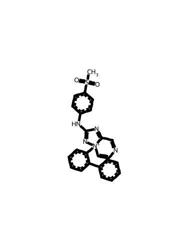 CS(=O)(=O)c1ccc(NC2=N[N+]3(c4ccccc4-c4ccccc4)C=CN=CC3=N2)cc1